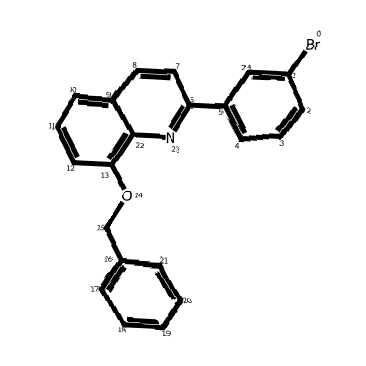 Brc1cccc(-c2ccc3cccc(OCc4ccccc4)c3n2)c1